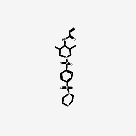 C=CC(=O)NC1C(C)CN(S(=O)(=O)c2ccc(S(=O)(=O)N3CCOCC3)cc2)CC1C